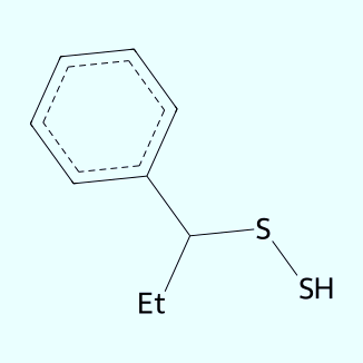 CCC(SS)c1ccccc1